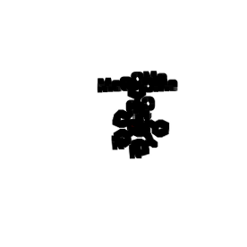 COc1cc(C(=O)C(=O)N(C)[C@@H](Cc2ccccc2)C(=O)N(Cc2ccccc2)C(CC(C)c2ccncc2)CC(C)c2ccncc2)cc(OC)c1OC